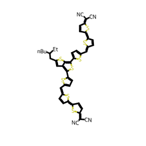 CCCCC(CC)Cc1cc2c(-c3ccc(/C=c4/cc/c(=c5/ccc(=C(C#N)C#N)s5)s4)s3)sc(-c3ccc(/C=c4/cc/c(=c5/ccc(=C(C#N)C#N)s5)s4)s3)c2s1